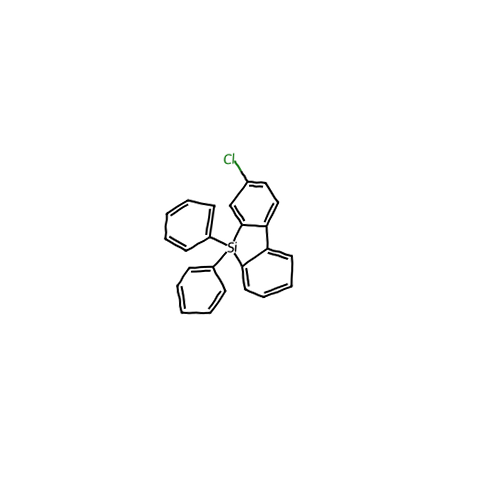 Clc1ccc2c(c1)[Si](c1ccccc1)(c1ccccc1)c1ccccc1-2